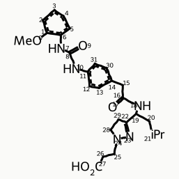 COc1ccccc1NC(=O)Nc1ccc(CC(=O)NC(CC(C)C)C2=NN(CCC(=O)O)CC2)cc1